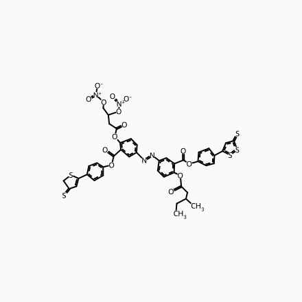 CCC(C)CC(=O)Oc1ccc(/N=N/c2ccc(OC(=O)CC(CO[N+](=O)[O-])O[N+](=O)[O-])c(C(=O)Oc3ccc(C4=CC(=S)CS4)cc3)c2)cc1C(=O)Oc1ccc(-c2cc(=S)ss2)cc1